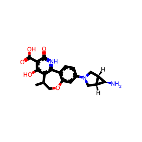 CC1COc2cc(N3C[C@@H]4[C@@H](N)[C@@H]4C3)ccc2-c2[nH]c(=O)c(C(=O)O)c(O)c21